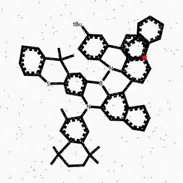 Cc1cc2c(cc1N1c3cc4c(cc3B3c5c1cc1ccccc1c5-c1ccc5c(sc6ccccc65)c1N3c1ccc(C(C)(C)C)cc1-c1ccccc1)C(C)(C)c1ccccc1S4)C(C)(C)CCC2(C)C